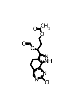 CC(=O)OCCC(OC=O)c1n[nH]c2c1CCc1cnc(Cl)nc1-2